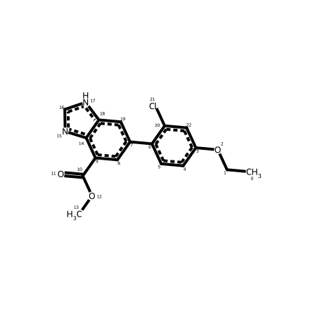 CCOc1ccc(-c2cc(C(=O)OC)c3nc[nH]c3c2)c(Cl)c1